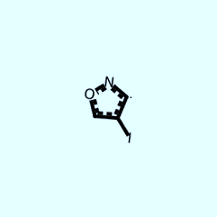 Ic1[c]noc1